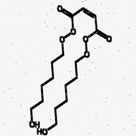 O=C(/C=C\C(=O)OOCCCCCCO)OOCCCCCCO